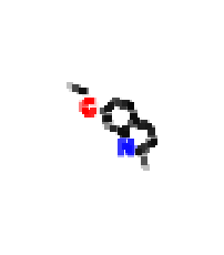 CCOc1ccc2ccc(C)nc2c1